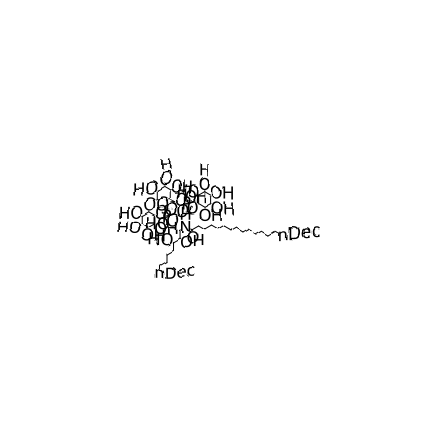 CCCCCCCCCCCCCCCCCCCCCCCC(=O)N[C@@H](COP(=O)(O)O[C@H]1C(O)C(O)C(O)[C@@H](O)C1O[C@H]1O[C@H](COP(=O)(O)OC2C(O)C(O)C(O)[C@@H](O)C2O)[C@@H](O)C(O)C1O)[C@H](O)[C@H](O)CCCCCCCCCCCCCC